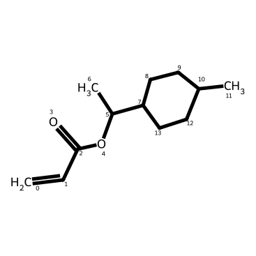 C=CC(=O)OC(C)C1CCC(C)CC1